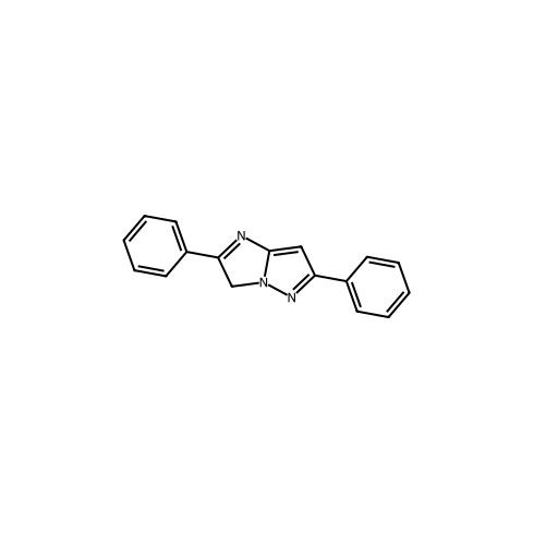 c1ccc(C2=Nc3cc(-c4ccccc4)nn3C2)cc1